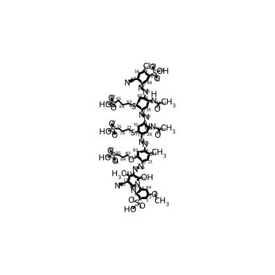 COc1cc(S(=O)(=O)O)c2nc3c(C#N)c(C)c(N=Nc4cc(C)c(N=Nc5cc(NC(C)=O)c(N=Nc6cc(NC(C)=O)c(N=Nc7cc(S(=O)(=O)O)c(Cl)cc7C#N)cc6SCCCS(=O)(=O)O)cc5SCCCS(=O)(=O)O)cc4OCCCS(=O)(=O)O)c(O)n3c2c1